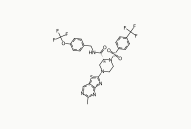 Cc1ncc2sc(N3CCN(S(=O)(=O)c4ccc(C(F)(F)F)cc4)[C@@H](C(=O)NCc4ccc(OC(F)(F)F)cc4)C3)nc2n1